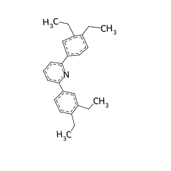 CCc1ccc(-c2cccc(-c3ccc(CC)c(CC)c3)n2)cc1CC